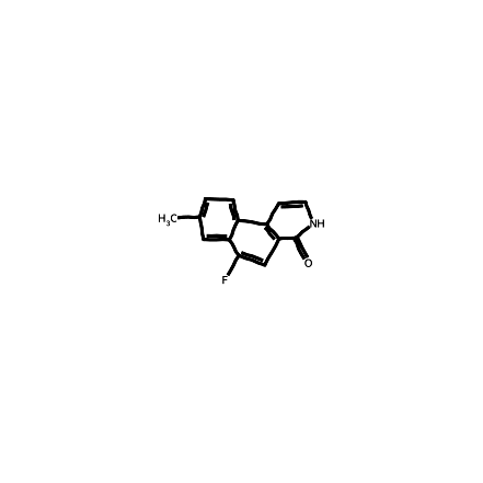 Cc1ccc2c(c1)c(F)cc1c(=O)[nH]ccc12